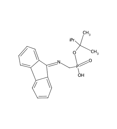 CC(C)C(C)(C)OP(=O)(O)CN=C1c2ccccc2-c2ccccc21